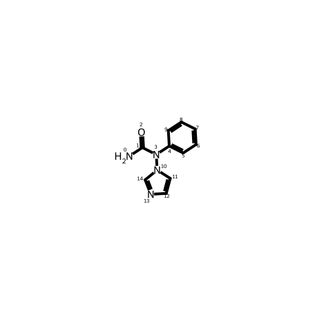 NC(=O)N(c1ccccc1)n1ccnc1